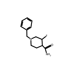 NC(=O)C1CCN(Cc2ccccc2)CC1F